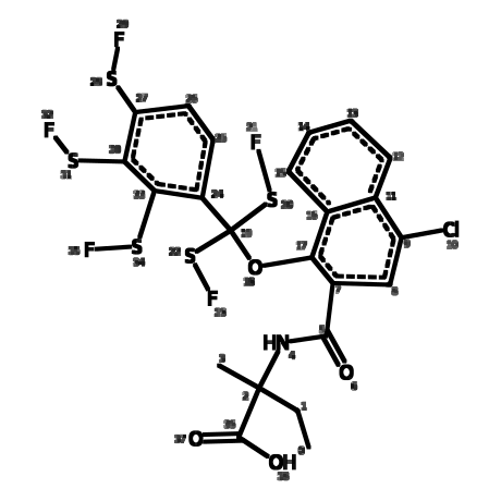 CCC(C)(NC(=O)c1cc(Cl)c2ccccc2c1OC(SF)(SF)c1ccc(SF)c(SF)c1SF)C(=O)O